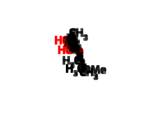 COC(C)(C)CCC/C(C)=C/COc1cc(O)c2c(c1)Cc1cc(C)cc(O)c1C2=O